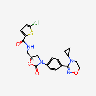 O=C(NC[C@H]1CN(c2ccc(C3=NOCCN3C3CC3)cc2)C(=O)O1)c1ccc(Cl)s1